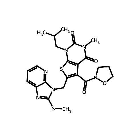 CSc1nc2cccnc2n1Cc1sc2c(c1C(=O)N1CCCO1)c(=O)n(C)c(=O)n2CC(C)C